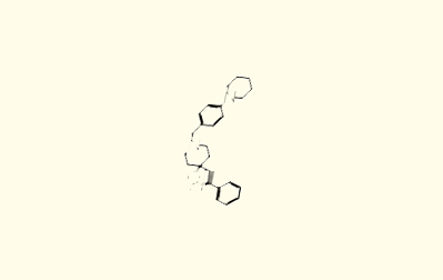 O=C(CC1(O)CCN(Cc2ccc(N3CCCCC3)cc2)CC1)c1ccccc1